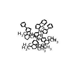 CC1(C)CCC(C)(C)c2cc(N3c4cc5c(cc4B4c6ccc(-c7ccccc7)cc6N(c6cccc7c6sc6ccccc67)c6cc(N7c8ccc(-c9ccccc9)cc8C8(C)CCCCC78C)cc3c64)C(C)(C)CCC5(C)C)ccc21